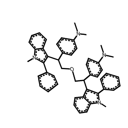 CN(C)c1ccc(C(COCC(c2ccc(N(C)C)cc2)c2c(-c3ccccc3)n(C)c3ccccc23)c2c(-c3ccccc3)n(C)c3ccccc23)cc1